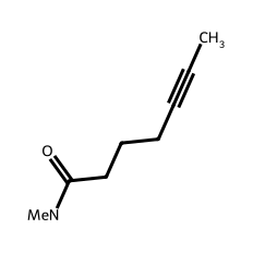 CC#CCCCC(=O)NC